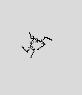 CCCCCCC1CC1COC(CCC(=O)OCCC1(CCOC(=O)CCC(OCC2CC2CCCCCC)OCC2CC2CCCCCC)CCN(CCCC)CC1)OCC1CC1CCCCCC